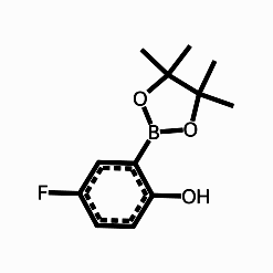 CC1(C)OB(c2cc(F)ccc2O)OC1(C)C